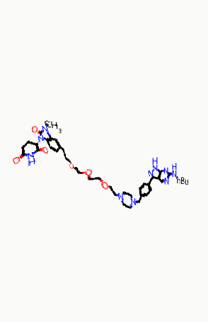 CCCCNc1ncc2c(-c3ccc(CN4CCN(CCOCCOCCOCCCc5ccc6c(c5)n(C)c(=O)n6[C@H]5CCC(=O)NC5=O)CC4)cc3)n[nH]c2n1